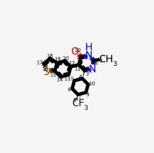 Cc1nc([C@H]2CC[C@@H](C(F)(F)F)CC2)c(-c2ccc3sccc3c2)c(=O)[nH]1